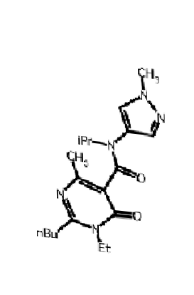 CCCCc1nc(C)c(C(=O)N(c2cnn(C)c2)C(C)C)c(=O)n1CC